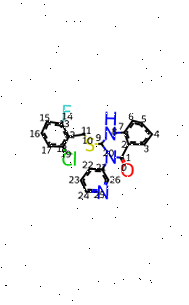 O=C1c2ccccc2NC(SCc2c(F)cccc2Cl)N1c1cccnc1